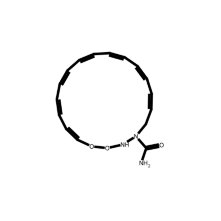 NC(=O)N1C\C=C/C=C\C=C/C=C\C=C/C=C\C=C/OON1